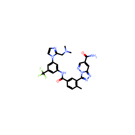 Cc1ccc(C(=O)Nc2cc(-n3ccnc3CN(C)C)cc(C(F)(F)F)c2)cc1-c1nnc2cc(C(N)=O)cnn12